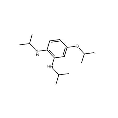 CC(C)Nc1ccc(OC(C)C)cc1NC(C)C